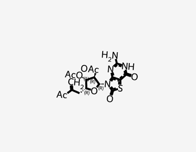 C=C(C[C@H]1O[C@@H](n2c(=O)sc3c(=O)[nH]c(N)nc32)[C@H](OC(C)=O)[C@H]1OC(C)=O)C(C)=O